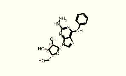 NNc1nc(Nc2ccccc2)c2ncn([C@@H]3O[C@H](CO)[C@@H](O)[C@H]3O)c2n1